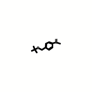 CNc1ccc(COC(C)(C)C)cc1